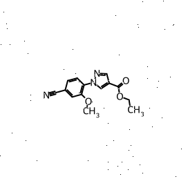 CCOC(=O)c1cnn(-c2ccc(C#N)cc2OC)c1